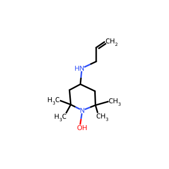 C=CCNC1CC(C)(C)N(O)C(C)(C)C1